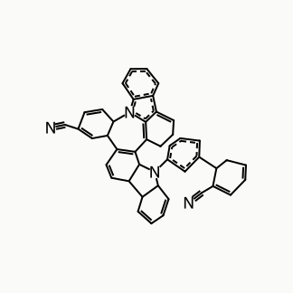 N#CC1=CC2C3=C(C4=c5c(c6ccccc6n5C2C=C1)=CCC4)C1C(C=C3)C2C=CC=CC2N1c1cccc(C2CC=CC=C2C#N)c1